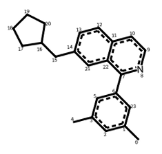 Cc1cc(C)cc(-c2nccc3ccc(CC4CCCC4)cc23)c1